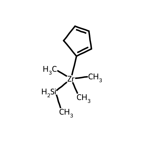 C[SiH2][Zr]([CH3])([CH3])([CH3])[C]1=CC=CC1